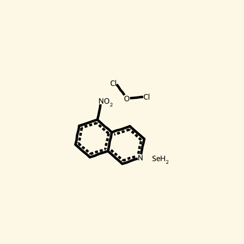 ClOCl.O=[N+]([O-])c1cccc2cnccc12.[SeH2]